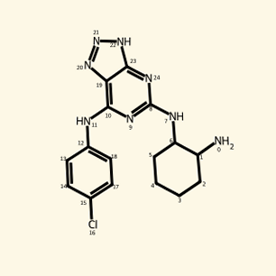 NC1CCCCC1Nc1nc(Nc2ccc(Cl)cc2)c2nn[nH]c2n1